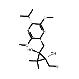 COC1=N[C@H](C(C)C)C(OC)=N[C@H]1C[C@@]1(O)C(C)(C)[C@]1(O)CBr